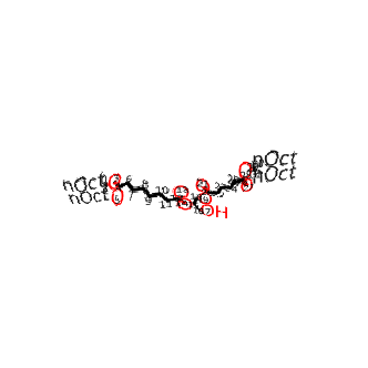 CCCCCCCCC(CCCCCCCC)OC(=O)CCCCCCC(=O)O[C@H](CO)COC(=O)CCCCC(=O)OC(CCCCCCCC)CCCCCCCC